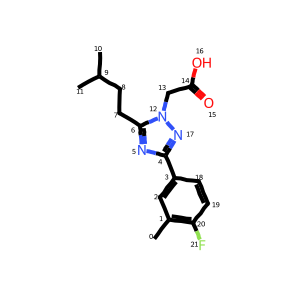 Cc1cc(-c2nc(CCC(C)C)n(CC(=O)O)n2)ccc1F